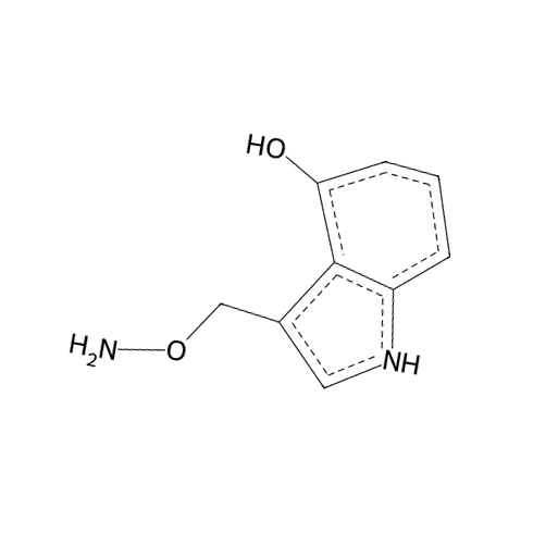 NOCc1c[nH]c2cccc(O)c12